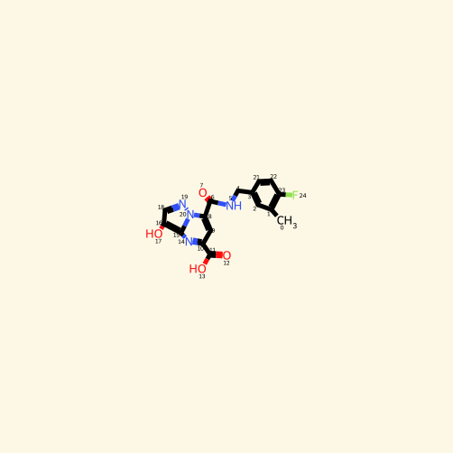 Cc1cc(CNC(=O)c2cc(C(=O)O)nc3c(O)cnn23)ccc1F